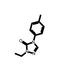 CCn1ncn(-c2ccc(C)cc2)c1=O